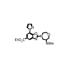 CCOC(=O)c1cc(-n2cccn2)c2oc(N3CCOCC(NC)C3)nc2c1